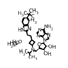 CC(C)N(C[C@H]1O[C@@H](n2cnc3c(N)ncnc32)[C@H](O)[C@@H]1O)C1CC(CCc2nc3cc(C(C)(C)C)ccc3[nH]2)C1.O.O.O